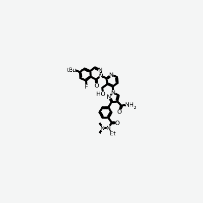 CCN(C(=O)c1cccc(-c2nn(-c3ccnc(-n4ncc5cc(C(C)(C)C)cc(F)c5c4=O)c3CO)cc2C(N)=O)c1)N(C)C